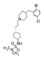 CN(C)S(=O)(=O)N[C@H]1CC[C@H](CCCN2CCC(Cc3cc(Cl)ccc3Br)CC2)CC1